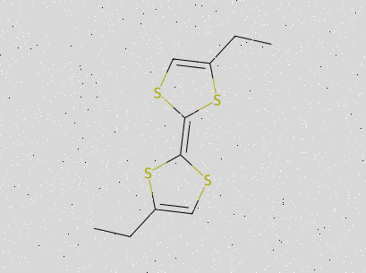 CCC1=CS/C(=C2/SC=C(CC)S2)S1